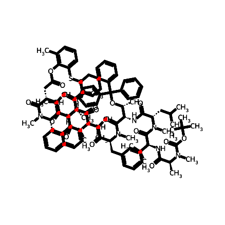 CCSSc1cccc(C)c1OC(=O)C[C@H](NC(=O)[C@H](Cc1ccccc1)NC(=O)[C@H](C(C)C)N(C)C(=O)[C@H](CC(C)C)N(C)C(=O)CNC(=O)[C@H](Cc1ccccc1)N(C)C(=O)[C@@H](NC(=O)[C@H](CC(C)C)N(C)C(=O)[C@@H](NC(=O)[C@H](C)N(C)C(=O)OC(C)(C)C)C(C)C)[C@@H](C)OC(c1ccccc1)(c1ccccc1)c1ccccc1)C(=O)N(C)[C@@H](Cc1ccccc1)C(=O)N[C@@H](C)C(=O)N1CCCCC1